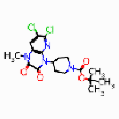 Cn1c(=O)c(=O)n(C2CCN(C(=O)OC(C)(C)C)CC2)c2nc(Cl)c(Cl)cc21